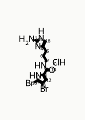 Cl.Nc1nc(CCCNC(=O)c2cc(Br)c(Br)[nH]2)c[nH]1